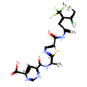 C=C(/C=C(\C(Cl)=C/C)C(F)(F)F)NC(=O)c1cnc(C(C)NC(=O)c2cc(C(=O)O)ncn2)s1